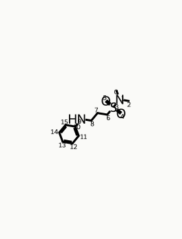 CN(C)S(=O)(=O)CCCNc1ccccc1